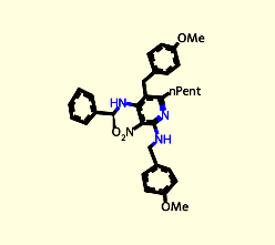 CCCCCc1nc(NCc2ccc(OC)cc2)c([N+](=O)[O-])c(N[C@@H](C)c2ccccc2)c1Cc1ccc(OC)cc1